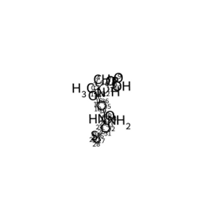 CCC1(CC)CC(O[PH](=O)O)CCN1C(=O)c1ccc(C(=O)Nc2cc(-c3cccs3)ccc2N)cc1